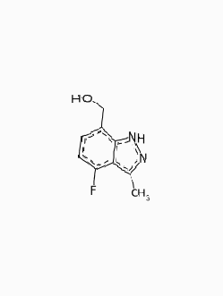 Cc1n[nH]c2c(CO)ccc(F)c12